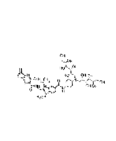 CCn1c(CNC(=O)c2nc3cc[nH]c3nc2[AsH2])[n+](CC)c2ccc(C(=O)N[C@H]3CC[C@@H](N(C[C@H](O)[C@@H](O)[C@H](O)[C@H](O)CO)C[C@H](O)[C@@H](O)[C@H](O)[C@H](O)CO)CC3)cc21